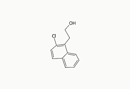 OCCc1c(Cl)ccc2ccccc12